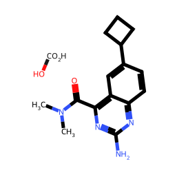 CN(C)C(=O)c1nc(N)nc2ccc(C3CCC3)cc12.O=C(O)O